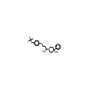 OC(CCOc1ccc(OC(F)(F)F)cc1)N1CCC(O)(c2cccnc2)CC1